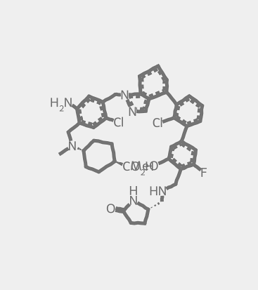 COc1cc(-c2cccc(-c3cccc4c3cnn4Cc3cc(N)c(CN(C)[C@H]4CC[C@H](C(=O)O)CC4)cc3Cl)c2Cl)cc(F)c1CNC[C@@H]1CCC(=O)N1